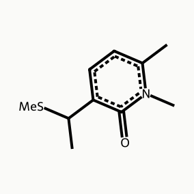 CSC(C)c1ccc(C)n(C)c1=O